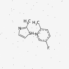 CC1=NC=C[SH]1[n+]1cc(F)ccc1C